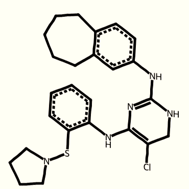 ClC1=C(Nc2ccccc2SN2CCCC2)N=C(Nc2ccc3c(c2)CCCCC3)NC1